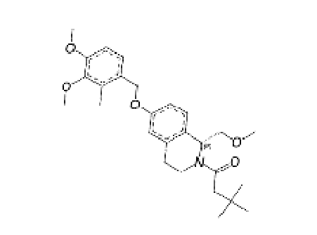 COC[C@H]1c2ccc(OCc3ccc(OC)c(OC)c3C)cc2CCN1C(=O)CC(C)(C)C